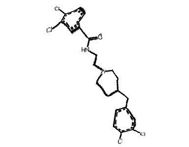 O=C(NCCN1CCC(Cc2ccc(Cl)c(Cl)c2)CC1)c1ccc(Cl)c(Cl)c1